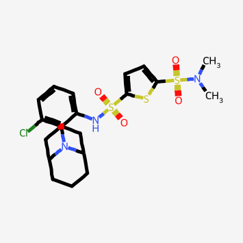 CN(C)S(=O)(=O)c1ccc(S(=O)(=O)Nc2cccc(Cl)c2N2C3CCCC2CCC3)s1